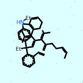 C=Cc1ccccc1C(C=C(C(C(=C)CC/C=C\C)=C(C)C)C(=C(C)C)C1=C(C)C=CCC1)(CC)c1ccc(NCC)cc1